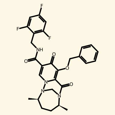 C[C@@H]1CC[C@H](C)N2CN1n1cc(C(=O)NCc3c(F)cc(F)cc3F)c(=O)c(OCc3ccccc3)c1C2=O